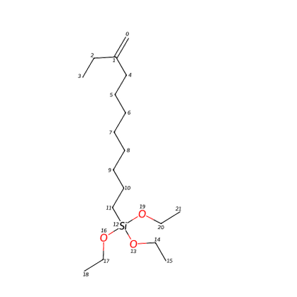 C=C(CC)CCCCCCCC[Si](OCC)(OCC)OCC